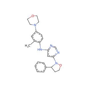 Cc1cc(N2CCOCC2)ccc1Nc1cc(N2OCCC2c2ccccc2)ncn1